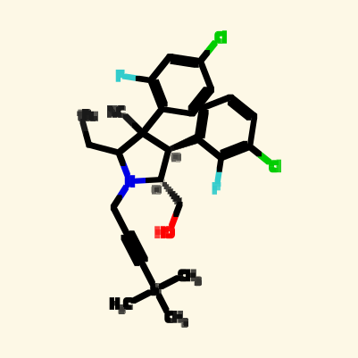 CC(C)(C)CC1N(CC#C[Si](C)(C)C)[C@@H](CO)[C@H](c2cccc(Cl)c2F)C1(C#N)c1ccc(Cl)cc1F